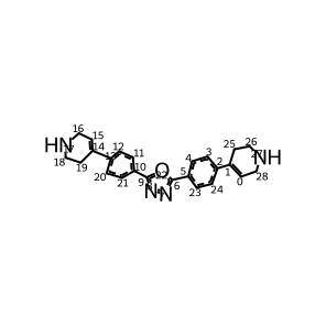 C1=C(c2ccc(-c3nnc(-c4ccc(C5=CCNCC5)cc4)o3)cc2)CCNC1